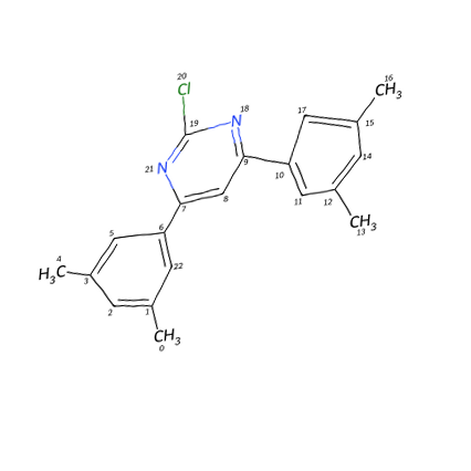 Cc1cc(C)cc(-c2cc(-c3cc(C)cc(C)c3)nc(Cl)n2)c1